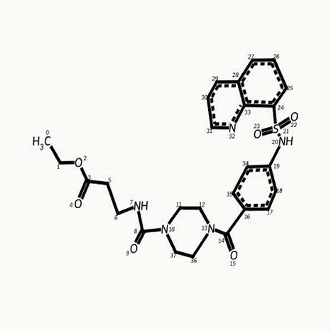 CCOC(=O)CCNC(=O)N1CCN(C(=O)c2ccc(NS(=O)(=O)c3cccc4cccnc34)cc2)CC1